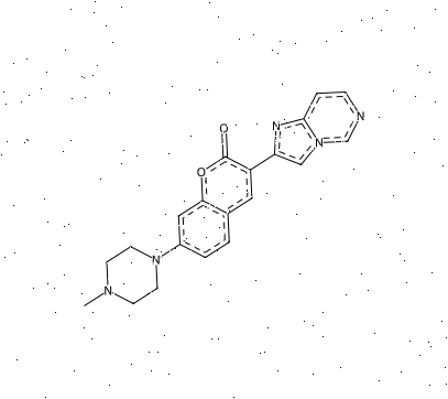 CN1CCN(c2ccc3cc(-c4cn5cnccc5n4)c(=O)oc3c2)CC1